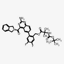 CC(C)(C)OC(=O)NC(C)(C)C(=O)OCc1cc(F)c(F)cc1-c1ccc2nc(N)nc(C(=O)N3Cc4ccccc4C3)c2c1